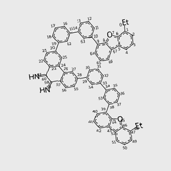 CCc1cccc2c1oc1c(-c3cccc(-c4cccc(-c5ccc6c(c5)-c5cc(-c7cccc(-c8cccc(-c9cccc%10c9oc9c(CC)cccc9%10)c8)c7)ccc5C(=N)C6=N)c4)c3)cccc12